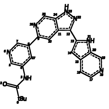 CC(C)(C)C(=O)Nc1cncc(-c2cc3c(-c4cc5ccncc5[nH]4)n[nH]c3cn2)c1